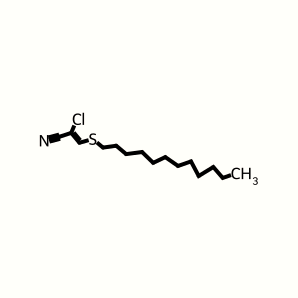 CCCCCCCCCCCCSC=C(Cl)C#N